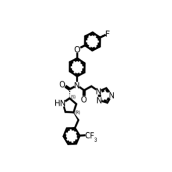 O=C(Cn1cncn1)N(C(=O)[C@@H]1C[C@@H](Cc2ccccc2C(F)(F)F)CN1)c1ccc(Oc2ccc(F)cc2)cc1